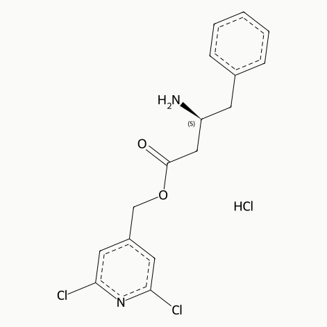 Cl.N[C@H](CC(=O)OCc1cc(Cl)nc(Cl)c1)Cc1ccccc1